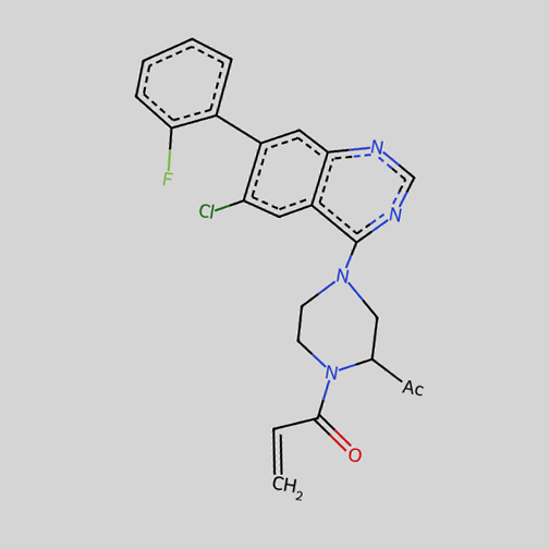 C=CC(=O)N1CCN(c2ncnc3cc(-c4ccccc4F)c(Cl)cc23)CC1C(C)=O